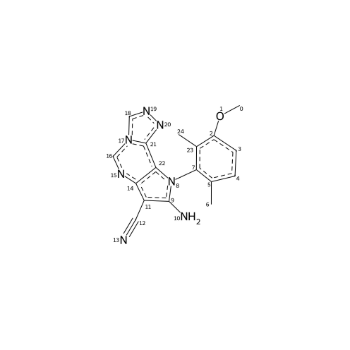 COc1ccc(C)c(-n2c(N)c(C#N)c3ncn4cnnc4c32)c1C